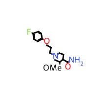 COC1CN(CCCOc2ccc(F)cc2)CCC1C(N)=O